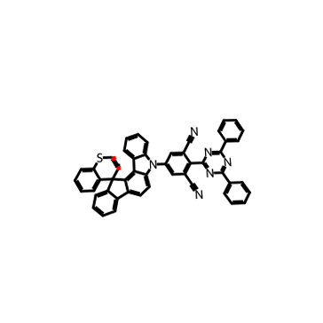 N#Cc1cc(-n2c3ccccc3c3c4c(ccc32)-c2ccccc2C42c3ccccc3Sc3ccccc32)cc(C#N)c1-c1nc(-c2ccccc2)nc(-c2ccccc2)n1